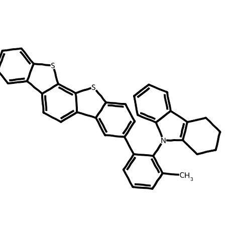 Cc1cccc(-c2ccc3sc4c(ccc5c6ccccc6sc54)c3c2)c1-n1c2c(c3ccccc31)CCCC2